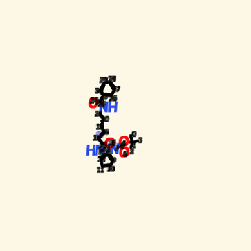 CC(C)(C)OC(=O)Nc1ccccc1NC(=O)/C=C/CCCNC(=O)c1ccccc1